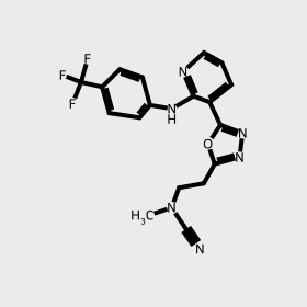 CN(C#N)CCc1nnc(-c2cccnc2Nc2ccc(C(F)(F)F)cc2)o1